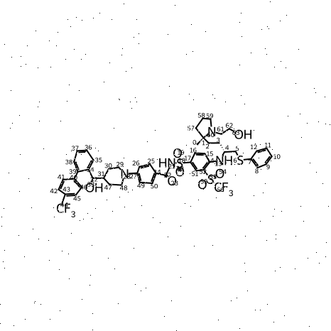 C[C@@]1(CC[C@H](CSc2ccccc2)Nc2ccc(S(=O)(=O)NC(=O)c3ccc(N4CCC([C@@H](O)c5ccccc5-c5ccc(C(F)(F)F)cc5)CC4)cc3)cc2S(=O)(=O)C(F)(F)F)CCCN1CCO